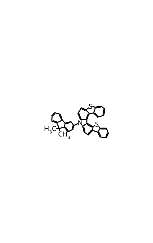 CC1(C)c2ccccc2-c2cc(-n3c4ccc5c6ccccc6sc5c4c4c5c(ccc43)sc3ccccc35)ccc21